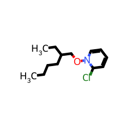 CCCCC(CC)CON1C=CC=CC1Cl